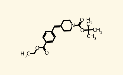 CCOC(=O)c1ccc(C=C2CCN(C(=O)OC(C)(C)C)CC2)cc1